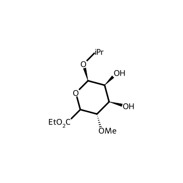 CCOC(=O)C1O[C@@H](OC(C)C)[C@@H](O)[C@@H](O)[C@@H]1OC